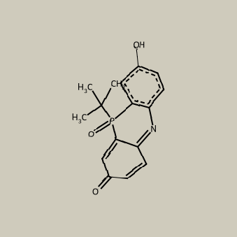 CC(C)(C)P1(=O)C2=CC(=O)C=CC2=Nc2ccc(O)cc21